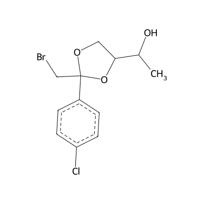 CC(O)C1COC(CBr)(c2ccc(Cl)cc2)O1